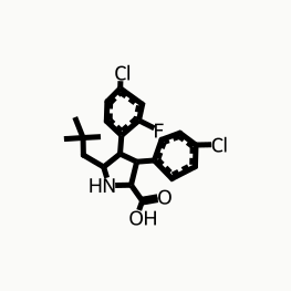 CC(C)(C)CC1NC(C(=O)O)C(c2ccc(Cl)cc2)C1c1ccc(Cl)cc1F